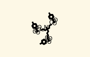 Cc1ccc(S(=O)(=O)OCCCC(CCCOS(=O)(=O)c2ccc(C)cc2)(CCCOS(=O)(=O)c2ccc(C)cc2)[N+](=O)[O-])cc1